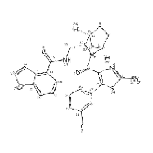 Nc1nc(C(=O)N2[C@@H]3CC[C@@H](C3)[C@H]2CNC(=O)c2cccc3occc23)c(-c2cccc(F)c2)s1